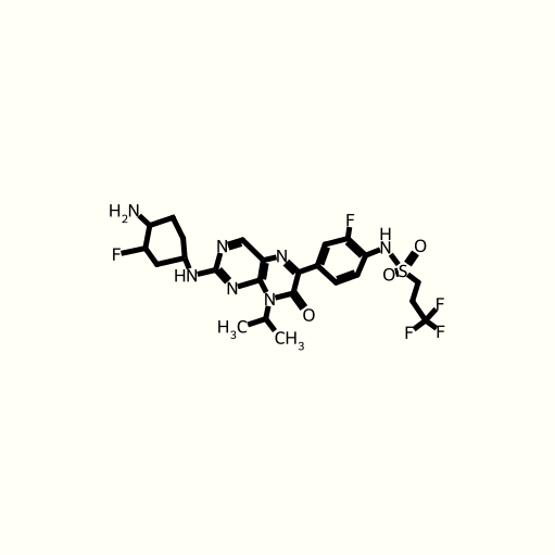 CC(C)n1c(=O)c(-c2ccc(NS(=O)(=O)CCC(F)(F)F)c(F)c2)nc2cnc(NC3CCC(N)C(F)C3)nc21